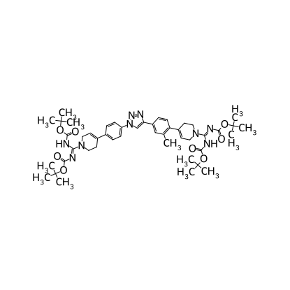 Cc1cc(-c2cn(-c3ccc(C4=CCN(C(=NC(=O)OC(C)(C)C)NC(=O)OC(C)(C)C)CC4)cc3)nn2)ccc1C1=CCN(/C(=N/C(=O)OC(C)(C)C)NC(=O)OC(C)(C)C)CC1